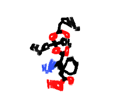 CCC(=O)OC(C)(C)OC(=O)C(N)C1(CC(=O)O)CCCCC1